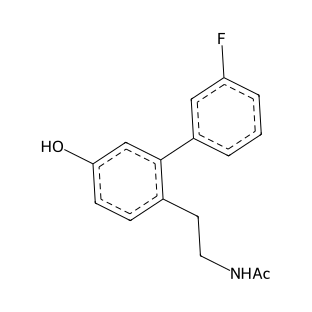 CC(=O)NCCc1ccc(O)cc1-c1cccc(F)c1